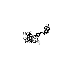 CC(O)[C@]1(C)C(COc2ccc(COc3ccc4ccc(=O)oc4c3)cc2)=C(C(=O)O)N2C(=O)CC21